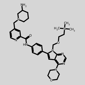 C[Si](C)(C)CCOCn1c(-c2ccc(NC(=O)c3cc(CN4CCCC(N)C4)ccn3)cc2)cc2c(N3CCOCC3)ncnc21